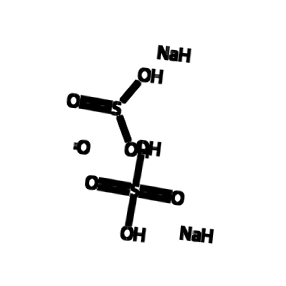 O=S(=O)(O)O.O=S(O)O.[NaH].[NaH].[O]